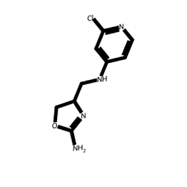 NC1=NC(CNc2ccnc(Cl)c2)CO1